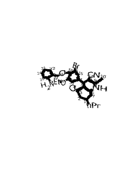 CCCC1CC(=O)C2=C(C1)NC(C)=C(C#N)C2c1cc(Br)c(OCc2ccccc2N)c(OCC)c1